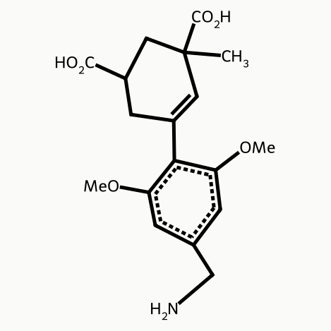 COc1cc(CN)cc(OC)c1C1=CC(C)(C(=O)O)CC(C(=O)O)C1